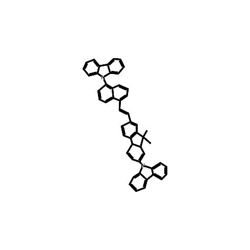 CC1(C)c2cc(/C=C/c3cccc4c(-n5c6ccccc6c6ccccc65)cccc34)ccc2C2C=CC(n3c4ccccc4c4ccccc43)=CC21